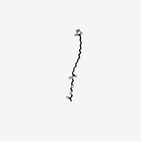 CC(=O)COCCOCCNC(=O)CCCCCCCCCCCCCCCCc1nnn[nH]1